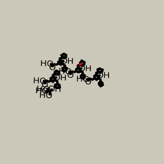 O=C(O)CCc1cc(Cc2ccccc2)c(O)c(Cc2ccccc2)c1.O=C(O)CCc1cc(Cc2ccccc2)c(O)c(Cc2ccccc2)c1.O=C(O)CCc1cc(Cc2ccccc2)c(O)c(Cc2ccccc2)c1.O=C(O)CCc1cc(Cc2ccccc2)c(O)c(Cc2ccccc2)c1.OCC(CO)(CO)CO